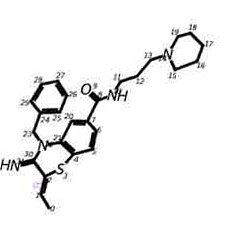 C/C=C1\Sc2ccc(C(=O)NCCCN3CCCCC3)cc2N(Cc2ccccc2)C1=N